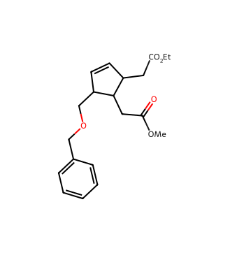 CCOC(=O)CC1C=CC(COCc2ccccc2)C1CC(=O)OC